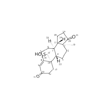 C[C@]12CC[C@H]3[C@@H](CCC4=CC(=O)CC[C@@]43CS(=O)(=O)O)[C@@H]1CCC2=O